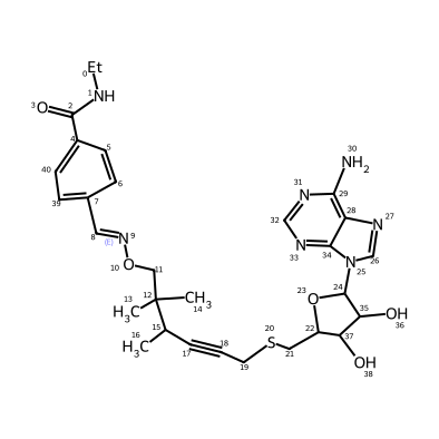 CCNC(=O)c1ccc(/C=N/OCC(C)(C)C(C)C#CCSCC2OC(n3cnc4c(N)ncnc43)C(O)C2O)cc1